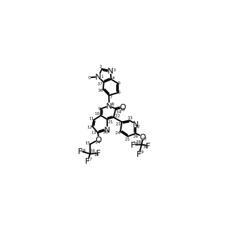 Cn1cnc2ccc(-n3cc4ccc(OCC(F)(F)F)nc4c(-c4ccc(OC(F)(F)F)nc4)c3=O)cc21